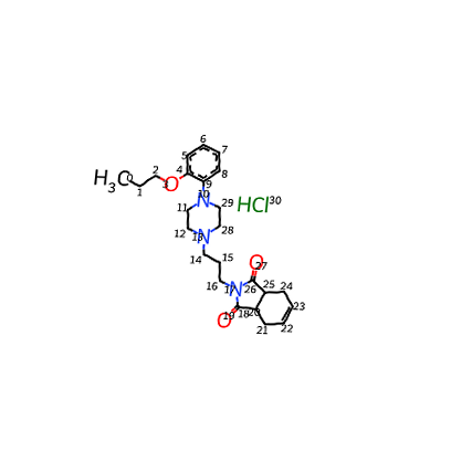 CCCOc1ccccc1N1CCN(CCCN2C(=O)C3CC=CCC3C2=O)CC1.Cl